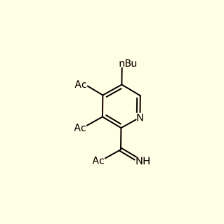 CCCCc1cnc(C(=N)C(C)=O)c(C(C)=O)c1C(C)=O